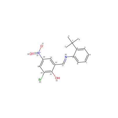 CC(C)(C)c1ccccc1/N=C/c1cc([N+](=O)[O-])cc(Br)c1O